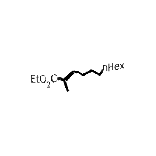 CCCCCCCCCC=C(C)C(=O)OCC